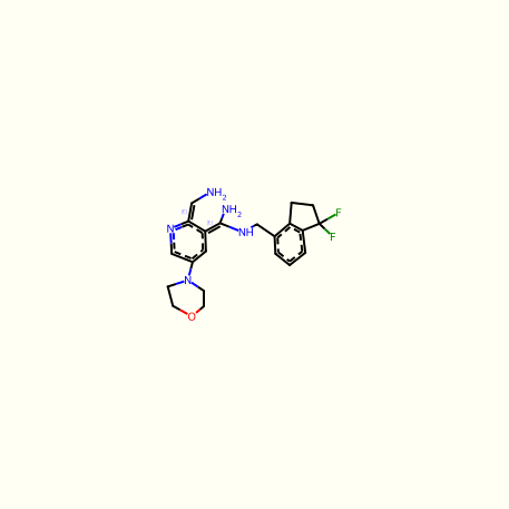 N/C=c1/ncc(N2CCOCC2)c/c1=C(/N)NCc1cccc2c1CCC2(F)F